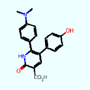 CN(C)c1ccc(-c2[nH]c(=O)c(C(=O)O)cc2-c2ccc(O)cc2)cc1